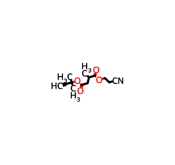 C#CC(C)(C)OC(=O)CC(C)C(=O)OCCC#N